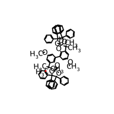 COc1cc(-c2cc(OC)cc3c2O[PH]2(OC(c4ccccc4)(c4ccccc4)C(c4ccccc4)(c4ccccc4)O2)C3(C)C)c(OP2OC(c3ccccc3)(c3ccccc3)C(c3ccccc3)(c3ccccc3)O2)c(C(C)(C)C)c1